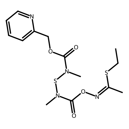 CCSC(C)=NOC(=O)N(C)SN(C)C(=O)OCc1ccccn1